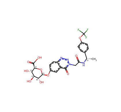 C[C@H](NC(=O)Cn1nnc2ccc(O[C@@H]3O[C@H](C(=O)O)[C@@H](O)[C@H](O)[C@H]3O)cc2c1=O)c1ccc(OC(F)(F)F)cc1